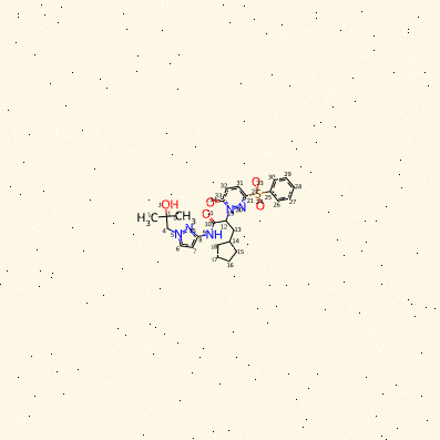 CC(C)(O)Cn1ccc(NC(=O)C(CC2CCCC2)n2nc(S(=O)(=O)c3ccccc3)ccc2=O)n1